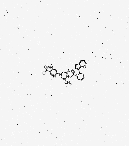 COC(=O)c1ccc(N2C[C@@H](C)N(CC(=O)N3CC=CCC3c3ccc4cccoc3-4)[C@@H](C)C2)nc1